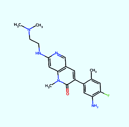 Cc1cc(F)c(N)cc1-c1cc2cnc(NCCN(C)C)cc2n(C)c1=O